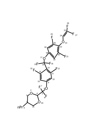 CCCC1COC(C(F)(F)Oc2cc(F)c(C(F)(F)Oc3cc(F)c(OC=C(F)F)c(F)c3)c(F)c2)OC1